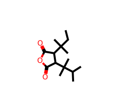 CCC(C)(C)C1C(=O)OC(=O)C1C(C)(C)C(C)C